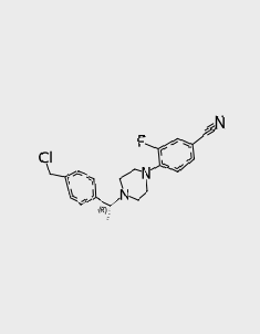 C[C@H](c1ccc(CCl)cc1)N1CCN(c2ccc(C#N)cc2F)CC1